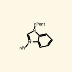 CCCCCn1c[n+](CCC)c2ccccc21